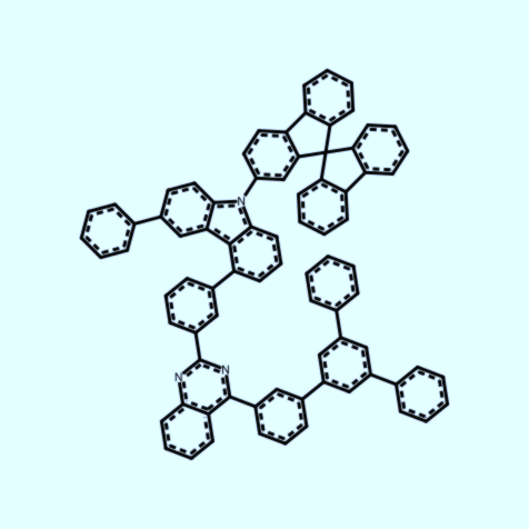 c1ccc(-c2cc(-c3ccccc3)cc(-c3cccc(-c4nc(-c5cccc(-c6cccc7c6c6cc(-c8ccccc8)ccc6n7-c6ccc7c(c6)C6(c8ccccc8-c8ccccc86)c6ccccc6-7)c5)nc5ccccc45)c3)c2)cc1